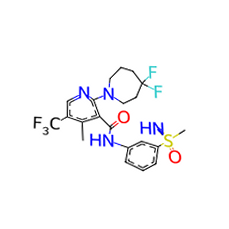 Cc1c(C(F)(F)F)cnc(N2CCCC(F)(F)CC2)c1C(=O)Nc1cccc(S(C)(=N)=O)c1